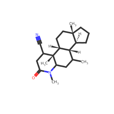 CC1CC2N(C)C(=O)CC(C#N)[C@]2(C)[C@@H]2CC[C@]3(C)CCC[C@H]3[C@H]12